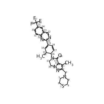 Cc1c(CN2CCSCC2)nn2c1C(=O)N(C1C=CC(c3ncc4cc(C(F)(F)F)ccc4n3)=CC1C)CC2